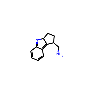 NCC1CCC2N=c3ccccc3=C12